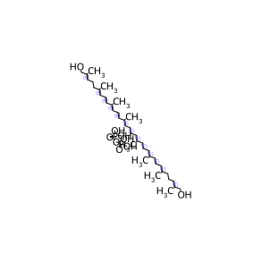 CC(/C=C/C=C(C)/C=C/C=C(\C)CC/C=C(\C)CO)=C\C=C\C=C(C)\C=C\C=C(C)\C=C\C=C(/C)CC/C=C(\C)CO.O=P(O)(O)OP(=O)(O)O